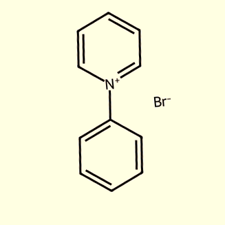 [Br-].c1ccc(-[n+]2ccccc2)cc1